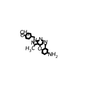 COc1ccc(Cn2nc(C)c3c(Oc4ccc(N)cc4C#N)ccnc32)cc1